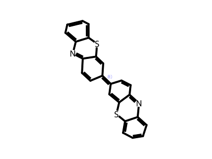 c1ccc2c(c1)N=c1cc/c(=c3/ccc4c(c3)Sc3ccccc3N=4)cc1S2